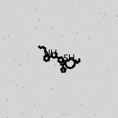 C=C/C=C\CNc1ccccc1C(=C)C/C(=C\C)c1ccc(C2(C(=C)C3=C=CC=C3)/C=C/C=C\C(C)(/C=C\C)/C=C\CCC2)c(S)c1